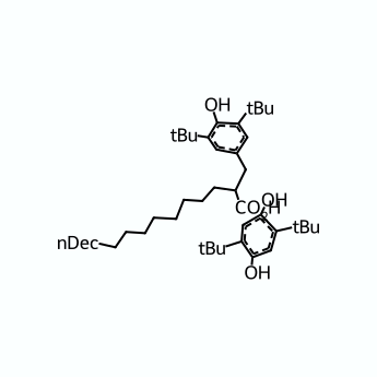 CC(C)(C)c1cc(O)c(C(C)(C)C)cc1O.CCCCCCCCCCCCCCCCCCC(Cc1cc(C(C)(C)C)c(O)c(C(C)(C)C)c1)C(=O)O